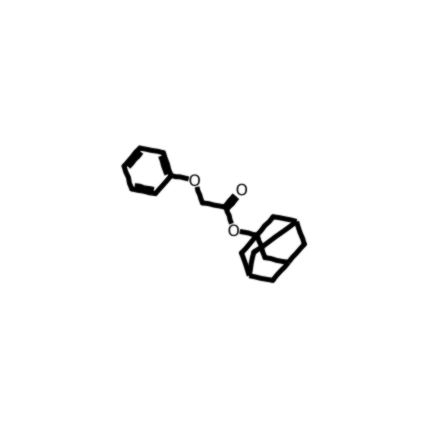 O=C(COc1ccccc1)OC12CC3CC(CC(C3)C1)C2